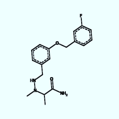 CC(C(N)=O)N(C)NCc1cccc(OCc2cccc(F)c2)c1